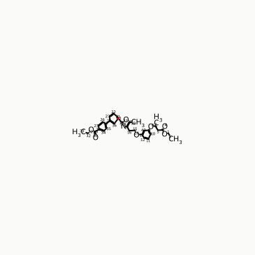 CCOC(=O)CC(C)Oc1cccc(OCCc2nc(-c3cccc(-c4ccc(C(=O)OCC)cc4)c3)oc2C)c1